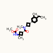 CCc1ccc([C@H]2C[C@@H](N(C)C(=O)[C@H]3C[C@@](C)(NC(=O)OC)C3)C2)cc1C